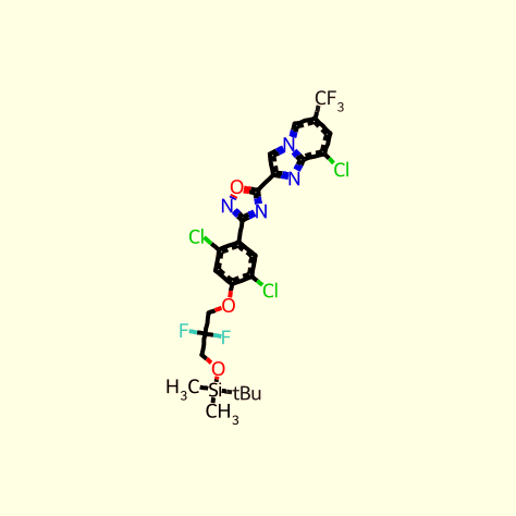 CC(C)(C)[Si](C)(C)OCC(F)(F)COc1cc(Cl)c(-c2noc(-c3cn4cc(C(F)(F)F)cc(Cl)c4n3)n2)cc1Cl